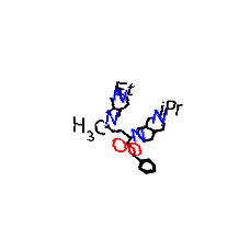 CCN1CCC2CN(C(C)CCC(C(=O)OCc3ccccc3)N3CCC4CCN(C(C)C)CC4C3)CC2C1